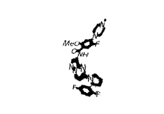 COc1cc(N2CCN(C)CC2)c(F)cc1C(=O)Nc1cnn2ccc(N3CCC[C@@H]3c3cc(F)ccc3F)nc12